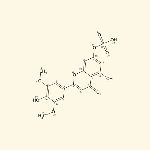 COc1cc(-c2cc(=O)c3c(O)cc(OS(=O)(=O)O)cc3o2)cc(OC)c1O